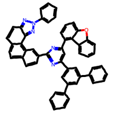 c1ccc(-c2cc(-c3ccccc3)cc(-c3cc(-c4cccc5oc6ccccc6c45)nc(-c4ccc5ccc6ccc7nn(-c8ccccc8)nc7c6c5c4)n3)c2)cc1